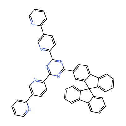 c1ccc(-c2ccc(-c3nc(-c4ccc5c(c4)C4(c6ccccc6-c6ccccc64)c4ccccc4-5)nc(-c4ccc(-c5ccccn5)cn4)n3)nc2)nc1